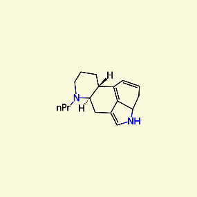 CCCN1CCC[C@@H]2C3=C4C(=CNC4CC=C3)C[C@H]21